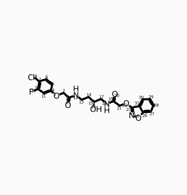 O=C(COc1ccc(Cl)c(F)c1)NCC[C@H](O)CNC(=O)COc1noc2ccccc12